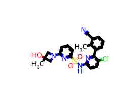 Cc1c(C#N)cccc1-c1nc(NS(=O)(=O)c2cccc(N3CC(C)(O)C3)n2)ccc1Cl